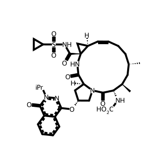 CC(C)n1nc(O[C@@H]2C[C@H]3C(=O)N[C@]4(C(=O)NS(=O)(=O)C5CC5)C[C@H]4C=CCC[C@H](C)C[C@@H](C)[C@H](NC(=O)O)C(=O)N3C2)c2ccccc2c1=O